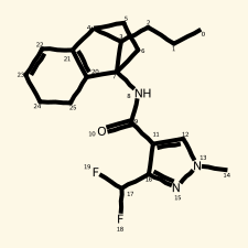 CCCC1C2CCC1(NC(=O)c1cn(C)nc1C(F)F)C1=C2C=CCC1